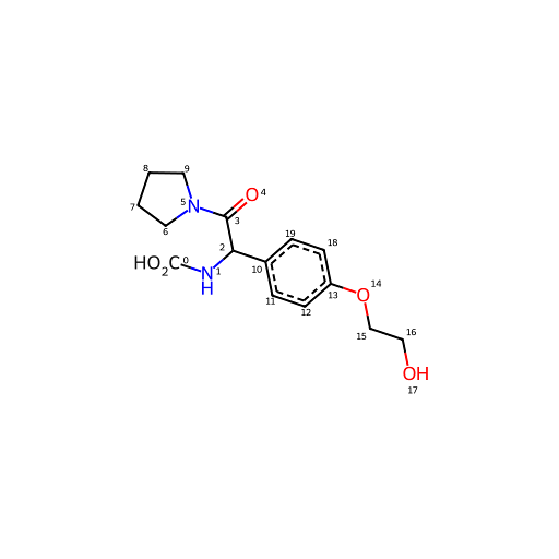 O=C(O)NC(C(=O)N1CCCC1)c1ccc(OCCO)cc1